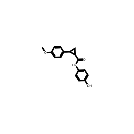 COc1ccc(C2CC2C(=O)Nc2ccc(O)cc2)cc1